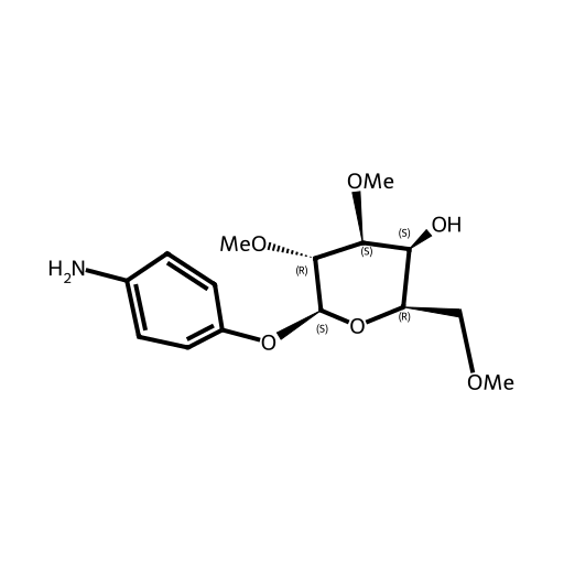 COC[C@H]1O[C@@H](Oc2ccc(N)cc2)[C@H](OC)[C@@H](OC)[C@H]1O